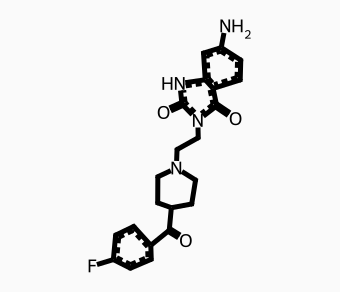 Nc1ccc2c(=O)n(CCN3CCC(C(=O)c4ccc(F)cc4)CC3)c(=O)[nH]c2c1